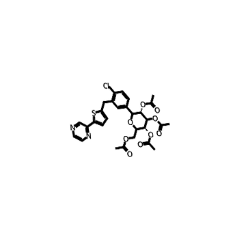 CC(=O)OCC1OC(c2ccc(Cl)c(Cc3ccc(-c4cnccn4)s3)c2)[C@H](OC(C)=O)C(OC(C)=O)[C@@H]1OC(C)=O